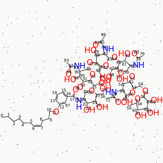 CCCCCC/C=C\CCCOc1cccc(C(=O)NC2C(O)[C@H](O)C(CO)O[C@H]2O[C@@H]2C(CO)O[C@@H](O[C@@H]3C(CO)O[C@@H](O[C@@H]4C(CO)O[C@@H](O[C@@H]5C(CO[C@@H]6OC(C)[C@@H](O)C(O)C6O)O[C@@H](O)C(NC(C)=O)C5O)C(NC(C)=O)C4O)C(NC(C)=O)C3O)C(NC(C)=O)C2O)c1